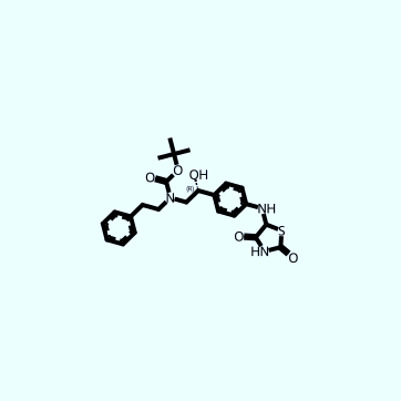 CC(C)(C)OC(=O)N(CCc1ccccc1)C[C@H](O)c1ccc(NC2SC(=O)NC2=O)cc1